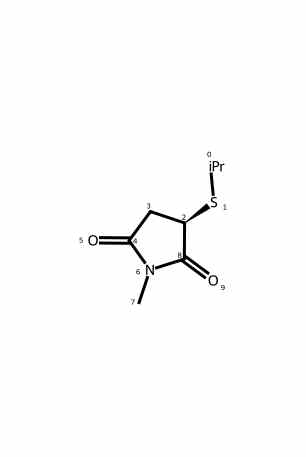 CC(C)S[C@@H]1CC(=O)N(C)C1=O